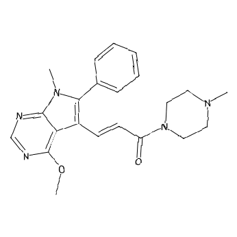 COc1ncnc2c1c(/C=C/C(=O)N1CCN(C)CC1)c(-c1ccccc1)n2C